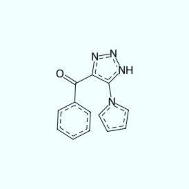 O=C(c1ccccc1)c1nn[nH]c1-n1cccc1